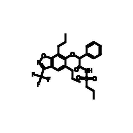 CCCc1cc2c(C(F)(F)F)noc2c(CCC)c1OC(C(=O)NS(=O)(=O)CCC)c1ccccc1